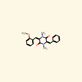 COc1ccccc1C=c1c(=O)n(C)c(=Cc2ccccc2)c(=O)n1C